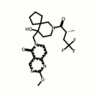 COc1ncc2c(=O)n(CC3(O)CCN(C(=O)[C@H](C)CC(F)(F)F)CC34CCCC4)ccc2n1